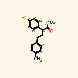 COC(=O)C(CCc1ccc(C)cc1)c1ccc(F)cc1